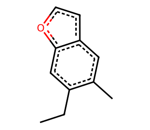 CCc1cc2occc2cc1C